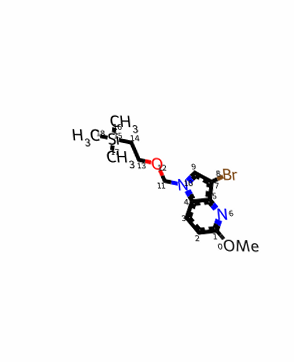 COc1ccc2c(n1)c(Br)cn2COCC[Si](C)(C)C